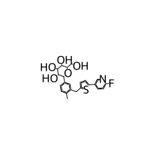 Cc1ccc(C2OC(CO)C(O)C(O)[C@H]2O)cc1Cc1ccc(-c2ccc(F)nc2)s1